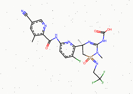 Cc1cc(C#N)cnc1C(=O)Nc1ccc(F)c([C@]2(C)CS(=O)(=NCC(F)(F)F)N(C)C(NC(=O)O)=N2)n1